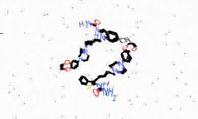 N#Cc1ccc2cc(NC(N)=O)n(CCCCN3CCCN(c4ccc5c(c4)OCCO5)CC3)c2c1.NC(=O)Nc1sc2ccccc2c1CCCCN1CCN(c2ccc3c(c2)OCCCO3)CC1